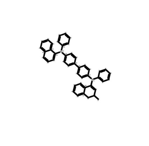 CC1C=C(N(c2ccccc2)c2ccc(-c3ccc(N(c4ccccc4)c4cccc5ccccc45)cc3)cc2)c2ccccc2C1